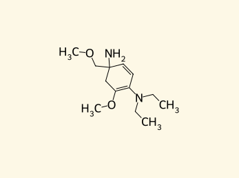 CCN(CC)C1=C(OC)CC(N)(COC)C=C1